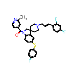 Cc1cc(C(=O)N2CC3(CCN(CC=Cc4ccc(F)cc4F)CC3)c3cc(Sc4ccc(F)cc4)ccc32)ccn1